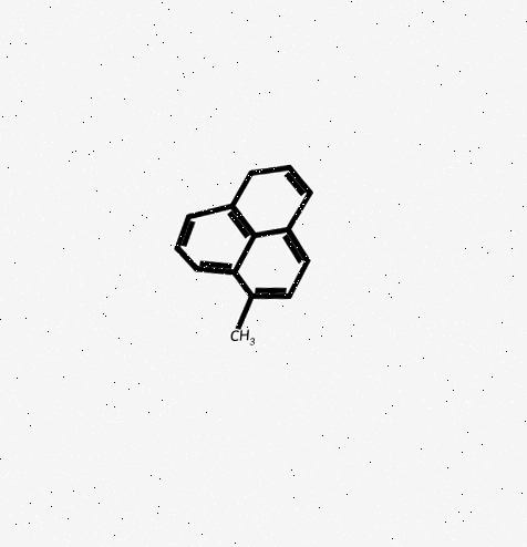 Cc1ccc2c3c(cccc13)CC=C2